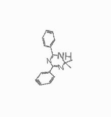 CC1(C)N=C(c2ccccc2)N=C(c2ccccc2)N1